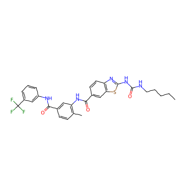 CCCCCNC(=O)Nc1nc2ccc(C(=O)Nc3cc(C(=O)Nc4cccc(C(F)(F)F)c4)ccc3C)cc2s1